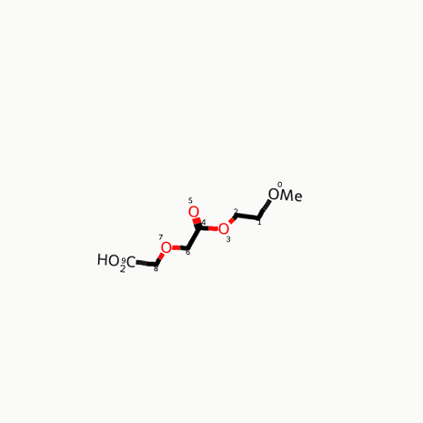 COCCOC(=O)COCC(=O)O